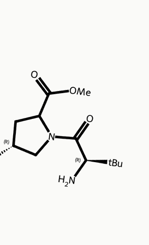 COC(=O)C1C[C@@H](O)CN1C(=O)[C@H](N)C(C)(C)C